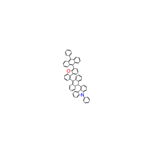 C1=CC2=C(c3cccc4oc5c(-c6c7ccccc7c(-c7ccccc7)c7ccccc67)cccc5c34)c3ccccc3C(c3cccc4c3c3ccccc3n4-c3ccccc3)C2C=C1